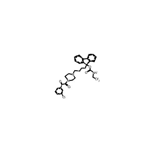 O=C(NCC(F)(F)F)OC1(CCCCN2CCN(C(=O)C(=O)c3cccc(Cl)c3)CC2)c2ccccc2-c2ccccc21